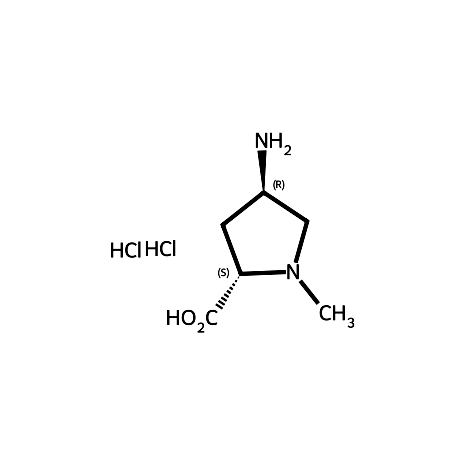 CN1C[C@H](N)C[C@H]1C(=O)O.Cl.Cl